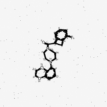 O=C(C1Cc2c(F)cccc21)N1CCN(c2cccc3c2OCCO3)CC1